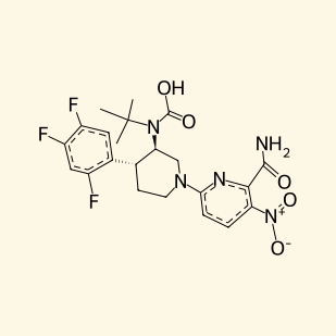 CC(C)(C)N(C(=O)O)[C@H]1CN(c2ccc([N+](=O)[O-])c(C(N)=O)n2)CC[C@@H]1c1cc(F)c(F)cc1F